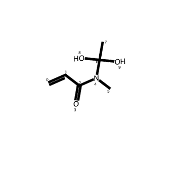 C=CC(=O)N(C)C(C)(O)O